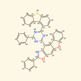 c1ccc(-c2nc(-c3c4nc(-c5ccccc5)oc4cc4oc5ccccc5c34)nc(-c3cccc4sc5ccccc5c34)n2)cc1